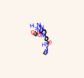 Nc1nc(O[C@H]2CCOC2)c2nc(-c3ccc(C(=O)NCCCN4CCCC4)cc3)ccc2n1